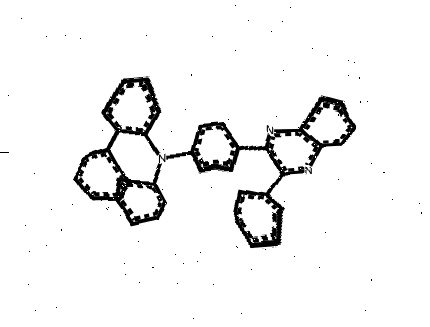 c1ccc(-c2ccccc2N(c2ccccc2)c2ccc(-c3nc4ccccc4nc3-c3ccccc3)cc2)cc1